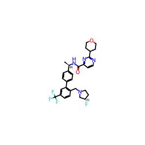 C[C@@H](NC(=O)c1ccnc(C2CCOCC2)n1)c1ccc(-c2cc(C(F)(F)F)ccc2CN2CC[C@H](F)C2)cc1